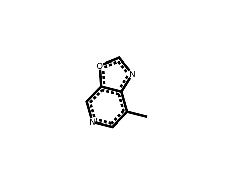 Cc1cncc2ocnc12